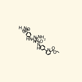 CCOC(=O)c1cccc(-c2ccc(NC(=O)n3nc(Nc4ccc(S(N)(=O)=O)cc4)nc3N)cc2)n1